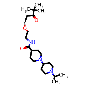 CC(C)N1CCC(N2CCC(C(=O)NCC[O][Y][CH2]C(=O)C(C)(C)C)CC2)CC1